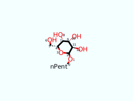 CCCCCOC1O[C@H](CO)[C@H](O)[C@H](O)[C@H]1O